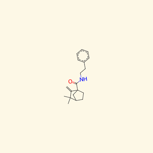 C=C1C2(C(=O)NCCc3ccccc3)CCC(C2)C1(C)C